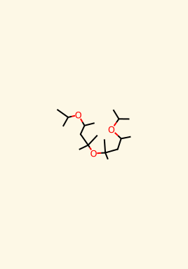 CC(C)OC(C)CC(C)(C)OC(C)(C)CC(C)OC(C)C